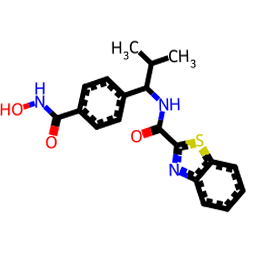 CC(C)C(NC(=O)c1nc2ccccc2s1)c1ccc(C(=O)NO)cc1